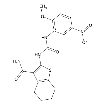 COc1ccc([N+](=O)[O-])cc1NC(=O)Nc1sc2c(c1C(N)=O)CCCC2